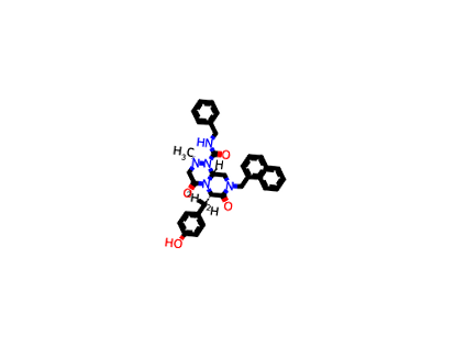 [2H]C([2H])(c1ccc(O)cc1)[C@H]1C(=O)N(Cc2cccc3ccccc23)C[C@H]2N1C(=O)CN(C)N2C(=O)NCc1ccccc1